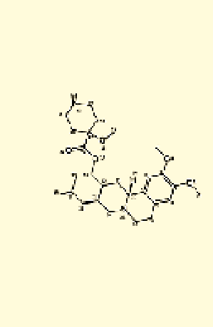 COc1cc2c(cc1OC)[C@H]1C[C@@H](COC(=O)C3(OC)CCNCC3)[C@H](CC(C)C)CN1CC2